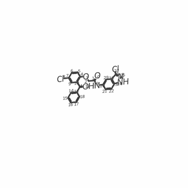 O=C(COc1ccc(Cl)cc1C(=O)c1ccccc1)Nc1ccc2[nH]nc(Cl)c2c1